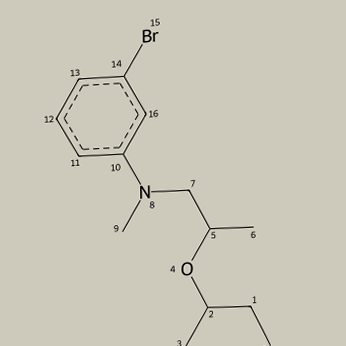 CCC(C)OC(C)CN(C)c1cccc(Br)c1